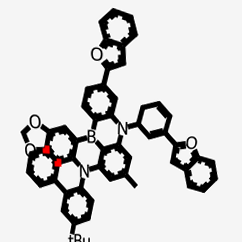 Cc1cc2c3c(c1)N(C1C=C(c4cc5ccccc5o4)C=CC1)c1cc(-c4cc5ccccc5o4)ccc1B3c1cc3c(cc1N2c1ccc(C(C)(C)C)cc1-c1ccccc1)OCO3